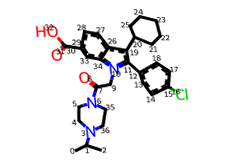 CC(C)N1CCN(C(=O)Cn2c(-c3ccc(Cl)cc3)c(C3CCCCC3)c3ccc(C(=O)O)cc32)CC1